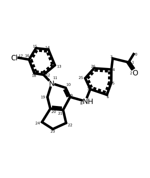 CC(=O)Cc1ccc(NC2=CN(c3cccc(Cl)c3)CC3=C2CCC3)cc1